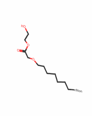 CCCCCCCCCCCCCCCCOCC(=O)OCCO